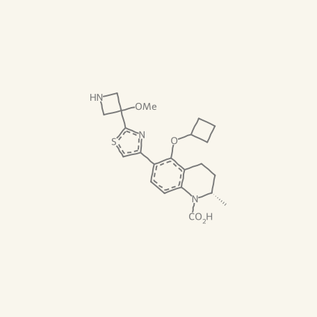 COC1(c2nc(-c3ccc4c(c3OC3CCC3)CC[C@H](C)N4C(=O)O)cs2)CNC1